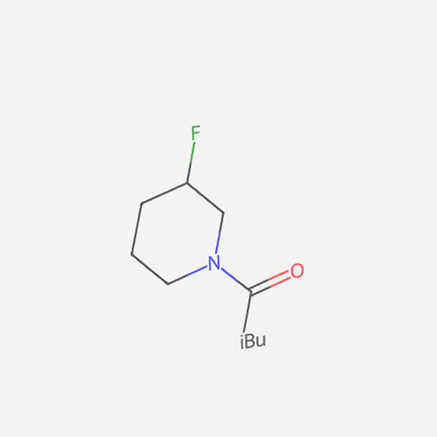 CCC(C)C(=O)N1CCCC(F)C1